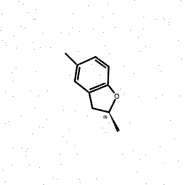 Cc1ccc2c(c1)C[C@H](C)O2